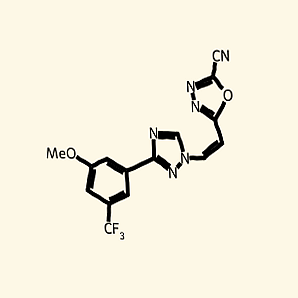 COc1cc(-c2ncn(/C=C\c3nnc(C#N)o3)n2)cc(C(F)(F)F)c1